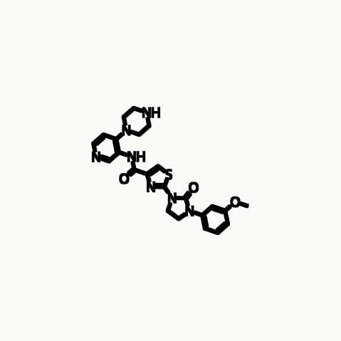 COc1cccc(N2CCN(c3nc(C(=O)Nc4cnccc4N4CCNCC4)cs3)C2=O)c1